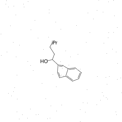 CC(C)CCC(O)c1ccc2ccccc2c1